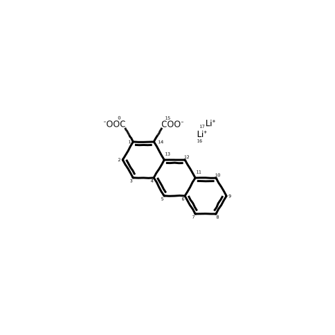 O=C([O-])c1ccc2cc3ccccc3cc2c1C(=O)[O-].[Li+].[Li+]